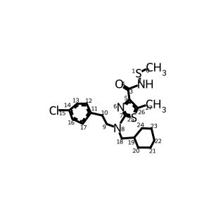 CSNC(=O)c1nc(N(CCc2ccc(Cl)cc2)CC2CCCCC2)sc1C